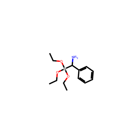 CCO[Si](OCC)(OCC)C(N)c1ccccc1